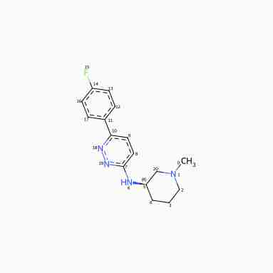 CN1CCC[C@@H](Nc2ccc(-c3ccc(F)cc3)nn2)C1